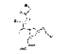 COC(=O)C[C@@H]1C[C@H](N=[N+]=[N-])CN1C(=O)[C@@H](NC(=O)OC(C)(C)C)C(C)(C)C